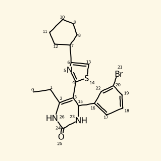 CCC1=C(c2nc(C3CCCCC3)cs2)C(c2cccc(Br)c2)NC(=O)N1